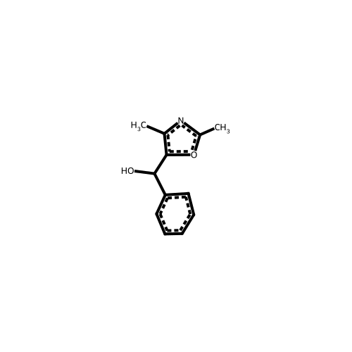 Cc1nc(C)c(C(O)c2ccccc2)o1